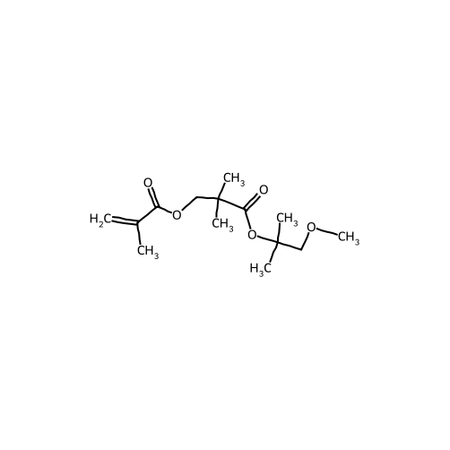 C=C(C)C(=O)OCC(C)(C)C(=O)OC(C)(C)COC